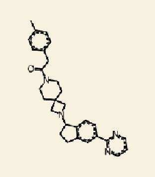 Cc1ccc(CC(=O)N2CCC3(CC2)CN(C2CCc4cc(-c5ncccn5)ccc42)C3)cc1